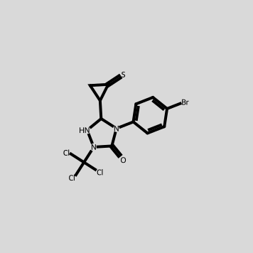 O=C1N(c2ccc(Br)cc2)C(C2CC2=S)NN1C(Cl)(Cl)Cl